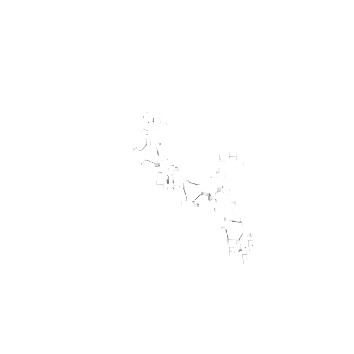 CCOC[C@@H]1CCC(c2ccc(C(F)(F)F)cc2)CN1c1ccc(NC(=O)Cc2ccc(SCC)cc2)cc1